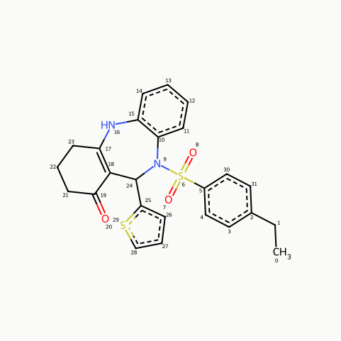 CCc1ccc(S(=O)(=O)N2c3ccccc3NC3=C(C(=O)CCC3)C2c2cccs2)cc1